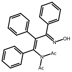 CC(=O)N(C(C)=O)C(=C(C(=NO)c1ccccc1)c1ccccc1)c1ccccc1